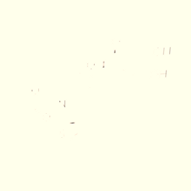 COC(CN(C(=O)c1cccs1)C(C)C1CC[C@@]2(O)C3=CC(=O)C4CC(O)C(O)CC4(C)C3CCC12C)OC